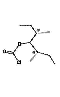 CC[C@H](C)C(OC(=O)Cl)[C@@H](C)CC